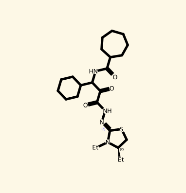 CC[C@@H]1CS/C(=N\NC(=O)C(=O)C(NC(=O)C2CCCCCC2)C2CCCCC2)N1CC